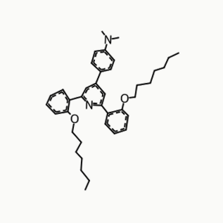 CCCCCCCOc1ccccc1-c1cc(-c2ccc(N(C)C)cc2)cc(-c2ccccc2OCCCCCCC)n1